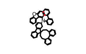 C1=CC(N(c2ccccc2-c2ccccc2)c2cccc3oc4ccccc4c23)CC2=C1c1ccccc1C21CCc2ccccc2-c2ccccc2CC1